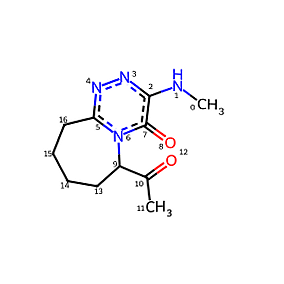 CNc1nnc2n(c1=O)C(C(C)=O)CCCC2